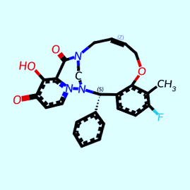 Cc1c(F)ccc2c1OC/C=C\CN1CN([C@H]2c2ccccc2)n2ccc(=O)c(O)c2C1=O